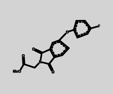 COC(=O)CN1C(=O)c2ccc(Oc3ccc(F)cc3)cc2C1=O